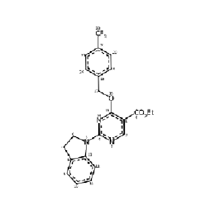 CCOC(=O)c1cnc(N2CCc3ccccc32)nc1OCc1ccc(C(F)(F)F)cc1